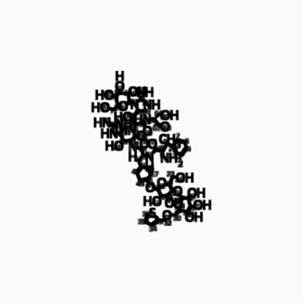 CC(c1ccccc1)[C@H](N)C(=O)N[C@@H](Cc1ccc(OC2OC(CO)C(OC3OC(COCc4cccs4)C(O)C(O)C3O)C(O)C2O)cc1)C(=O)N[C@H](C(=O)N[C@H](C(=O)N[C@H]([C]=O)CO)C(O)C1CNC(=N)N1C1OC(CO)C(O)C(O)C1O)C(O)C1CNC(=N)N1